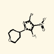 Cc1c([N+](=O)[O-])c(Br)nn1C1CCOCC1